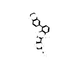 COc1cnc2snc(Nc3cccc(-c4ccc5c(c4)OCCO5)c3Cl)c2n1